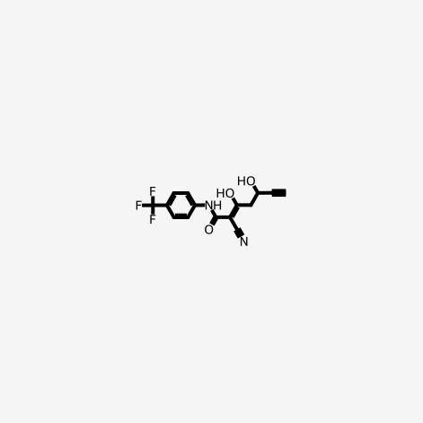 C#CC(O)CC(O)=C(C#N)C(=O)Nc1ccc(C(F)(F)F)cc1